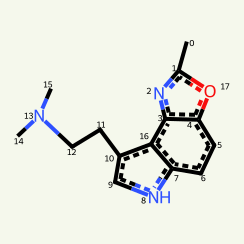 Cc1nc2c(ccc3[nH]cc(CCN(C)C)c32)o1